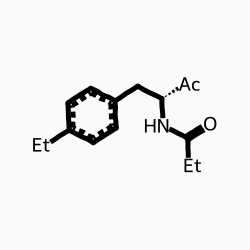 CCC(=O)N[C@H](Cc1ccc(CC)cc1)C(C)=O